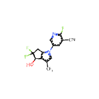 N#Cc1cc(-n2cc(C(F)(F)F)c3c2CC(F)(F)C3O)cnc1F